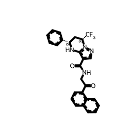 O=C(NCC(=O)c1cccc2ccccc12)c1cnn2c1N[C@H](c1ccccc1)C[C@@H]2C(F)(F)F